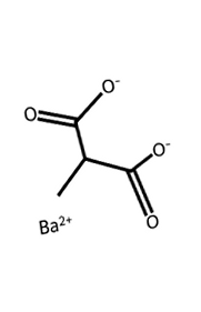 CC(C(=O)[O-])C(=O)[O-].[Ba+2]